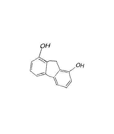 Oc1cccc2c1Cc1c(O)cccc1-2